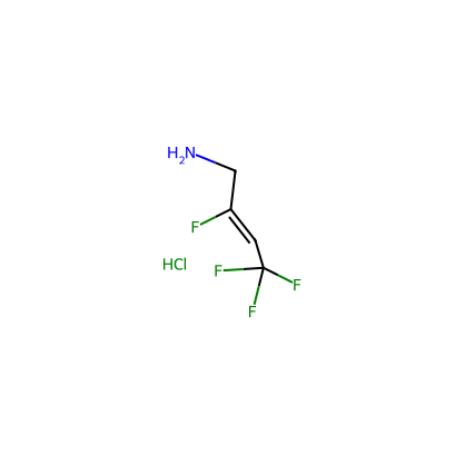 Cl.NC/C(F)=C/C(F)(F)F